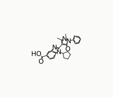 Cc1c(-c2nc3cc(C(=O)O)ccc3n2C2CCCC2)c(=O)n(-c2ccccc2)n1C